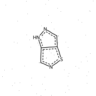 [c]1nsc2[c]n[nH]c12